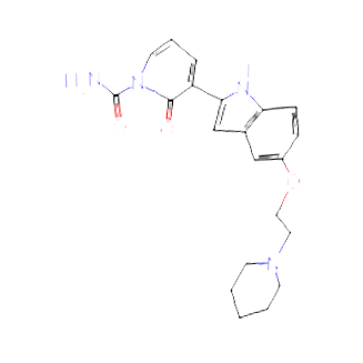 NC(=O)n1c[c]cc(-c2cc3cc(OCCN4CCCCC4)ccc3[nH]2)c1=O